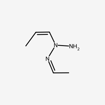 C/C=C\N(N)/N=C\C